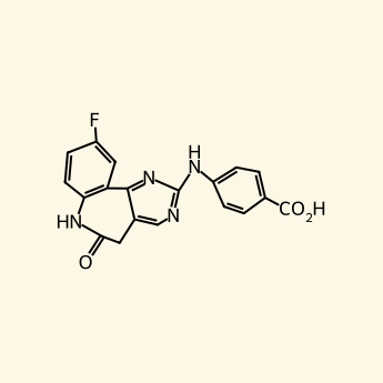 O=C1Cc2cnc(Nc3ccc(C(=O)O)cc3)nc2-c2cc(F)ccc2N1